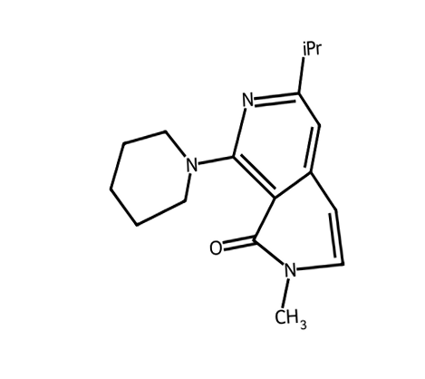 CC(C)c1cc2ccn(C)c(=O)c2c(N2CCCCC2)n1